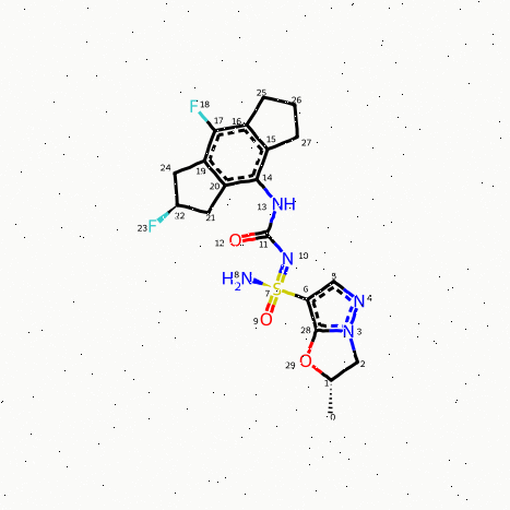 C[C@H]1Cn2ncc([S@](N)(=O)=NC(=O)Nc3c4c(c(F)c5c3C[C@@H](F)C5)CCC4)c2O1